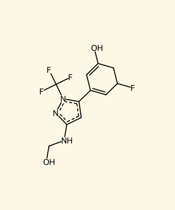 OCNc1cc(C2=CC(F)CC(O)=C2)n(C(F)(F)F)n1